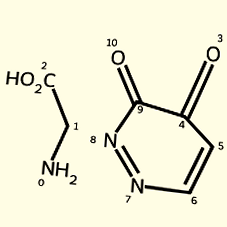 NCC(=O)O.O=C1C=CN=NC1=O